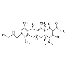 CC(C)CNCc1cc(O)c2c(c1C(F)(F)F)C[C@H]1C[C@H]3[C@H](N(C)C)C(O)=C(C(N)=O)C(=O)[C@@]3(O)C(O)=C1C2=O